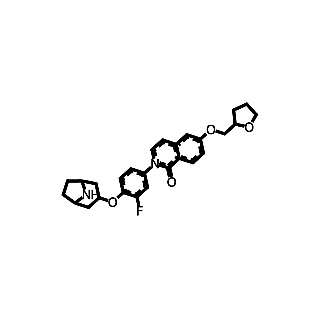 O=c1c2ccc(OCC3CCCO3)cc2ccn1-c1ccc(OC2CC3CCC(C2)N3)c(F)c1